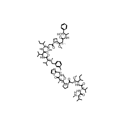 CCC(C)[C@H](NC(=O)[C@@H](NC(=O)[C@@H](NC)C(C)C)C(C)C)[C@@H](CC(=O)N1CCC[C@H]1[C@H](OC)[C@@H](C)C(=O)N[C@@H](Cc1cccc(CN(C)[C@H](C(=O)N[C@H](C(=O)N(C)[C@@H](C(C)CC)[C@@H](CC(=O)N2CC[C@H]2[C@H](OC)[C@@H](C)C(=O)NC(C)[C@@H](O)c2ccccc2)OC)C(C)C)C(C)C)c1)c1nccs1)OC